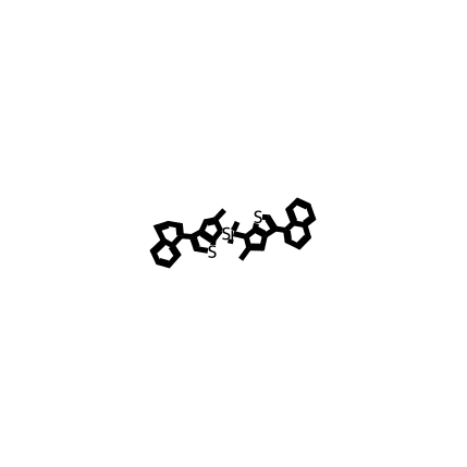 CC1=Cc2c(-c3cccc4ccccc34)csc2C1[Si](C)(C)C1C(C)=Cc2c(-c3cccc4ccccc34)csc21